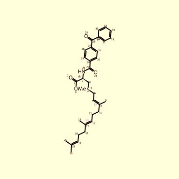 COC(=O)[C@H](CSC/C=C(\C)CC/C=C(\C)CCC=C(C)C)NC(=O)c1ccc(C(=O)c2ccccc2)cc1